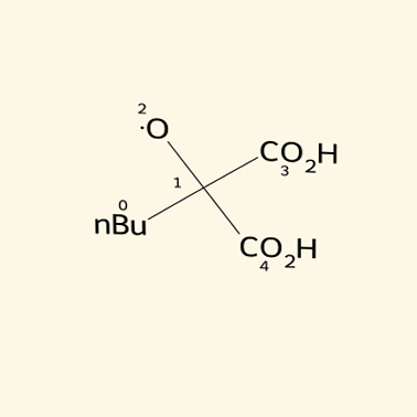 CCCCC([O])(C(=O)O)C(=O)O